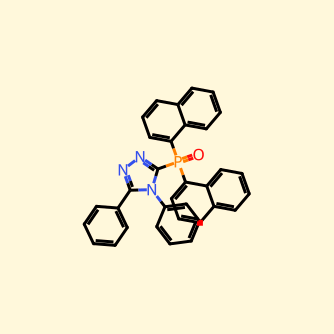 O=P(c1cccc2ccccc12)(c1cccc2ccccc12)c1nnc(-c2ccccc2)n1-c1ccccc1